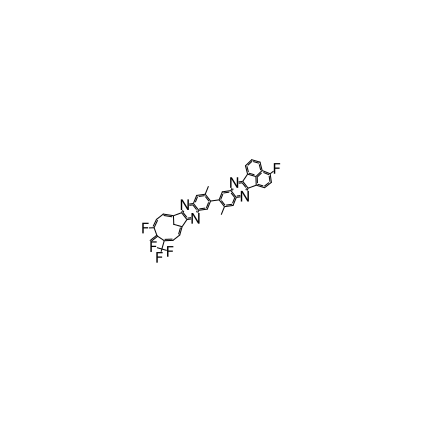 C=C1/C(F)=C\C=C2/C/C(=C\C=C/1C(F)(F)F)c1nc3cc(-c4cc5nc6c(nc5cc4C)-c4ccc(F)c5cccc-6c45)c(C)cc3nc12